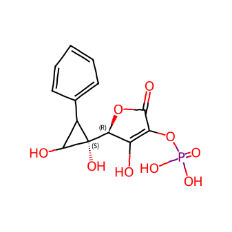 O=C1O[C@H]([C@@]2(O)C(O)C2c2ccccc2)C(O)=C1OP(=O)(O)O